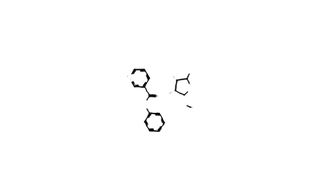 O=C(Oc1ccccc1)c1cccnc1.OC[C@H]1OC(O)[C@H](O)[C@@H]1O